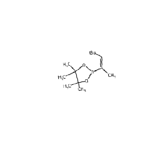 C/C(=C/C(C)(C)C)B1OC(C)(C)C(C)(C)O1